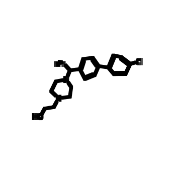 CCCC(c1ccc(-c2ccc(Cl)cc2)cc1)N1CCN(CCO)CC1